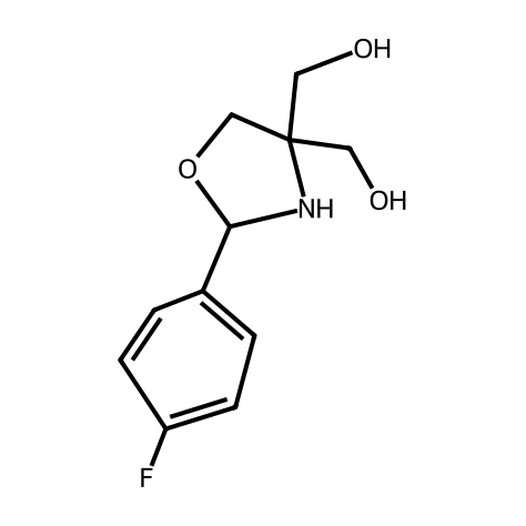 OCC1(CO)COC(c2ccc(F)cc2)N1